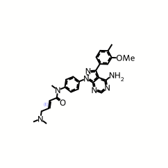 COc1cc(-c2nn(-c3ccc(N(C)C(=O)/C=C/CN(C)C)cc3)c3ncnc(N)c23)ccc1C